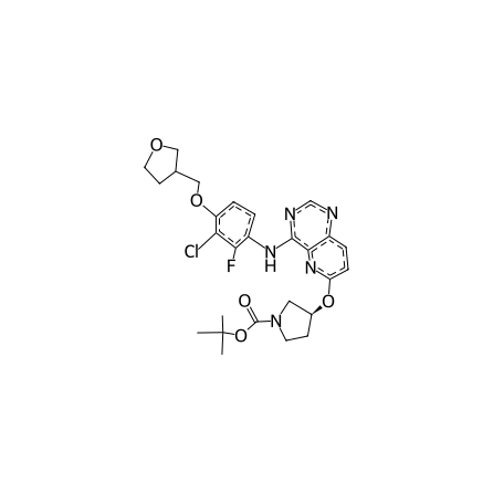 CC(C)(C)OC(=O)N1CC[C@H](Oc2ccc3ncnc(Nc4ccc(OCC5CCOC5)c(Cl)c4F)c3n2)C1